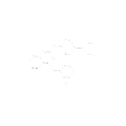 Cl.c1ccc(Nc2nc(Nc3ccc(C4CCCCC4)cc3)nc3ccccc23)cc1